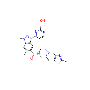 Cc1nc(CN2C[C@@H](C)N(C(=O)c3cc4c(-c5ccnc(C(C)(C)O)n5)nn(C)c4cc3C)C[C@@H]2C)co1